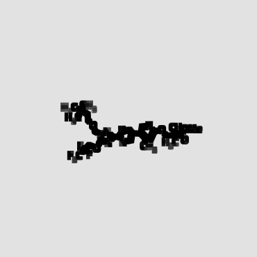 COC(=O)C(C)(C)COc1cc(C)c(-c2cnc(-c3nc(OCC(F)(F)C(F)(F)F)n(COCC[Si](C)(C)C)n3)nc2)cn1